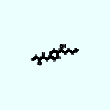 C=CC(=O)NCc1ccc(C(O)CCCBr)cc1